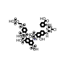 O=C(O)c1ccccc1Nc1nc(Cl)nc(Nc2ccc3cc(S(=O)(=O)O)c(/N=N/c4cc(S(=O)(=O)O)cc5cc(S(=O)(=O)O)c(N=Nc6ccc(S(=O)(=O)CCOS(=O)(=O)O)cc6S(=O)(=O)O)c(O)c45)c(O)c3c2)n1